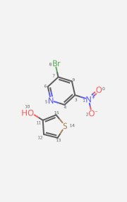 O=[N+]([O-])c1cncc(Br)c1.Oc1ccsc1